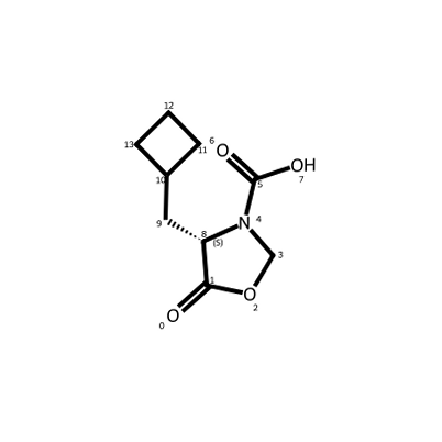 O=C1OCN(C(=O)O)[C@H]1CC1CCC1